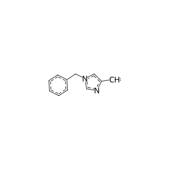 [CH]c1cn(Cc2ccccc2)cn1